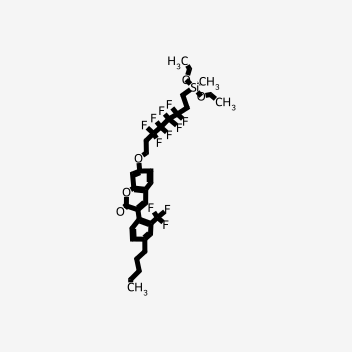 CCCCCc1ccc(-c2cc3ccc(OCCC(F)(F)C(F)(F)C(F)(F)C(F)(F)CC[Si](C)(OCC)OCC)cc3oc2=O)c(C(F)(F)F)c1